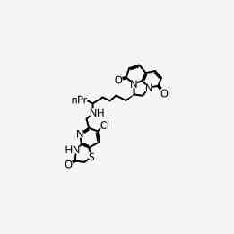 CCCC(CCCC[C@@H]1Cn2c(=O)ccc3ccc(=O)n1c32)NCc1nc2c(cc1Cl)SCC(=O)N2